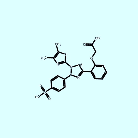 Cc1nc(N2NC(c3ccccc3OCC(=O)O)=NN2c2ccc(S(=O)(=O)O)cc2)sc1C